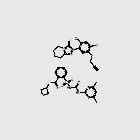 C#CCOc1cc(-n2nc3n(c2=O)CCCC3)c(Cl)cc1Cl.Cc1cc(C)nc(NC(=O)NS(=O)(=O)c2ccccc2C(=O)OC2COC2)n1